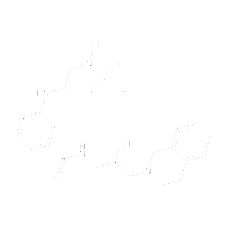 CN(CCNc1cc(C(=O)NCC(O)CN2CCc3ccccc3C2)ccn1)S(C)(=O)=O